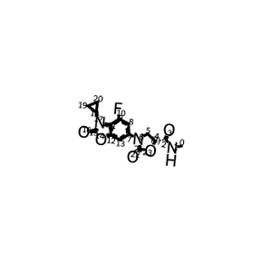 CNC(=O)[C@H]1CN(c2cc(F)c3c(c2)oc(=O)n3C2CC2)C(=O)O1